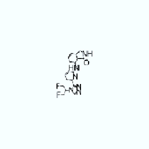 O=C1NCc2cccc(Nc3cccc(-c4nncn4C(CF)CF)n3)c21